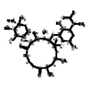 CCC(=O)N(C)[C@H]1C[C@@H](C)O[C@@H](O[C@@H]2[C@@H](C)[C@H](O[C@H]3C[C@@](C)(OC)[C@@H](O)[C@H](C)O3)[C@@H](C)C(=O)NCCC(=O)N(C)C[C@H](C)C[C@@]2(C)O)[C@@H]1O